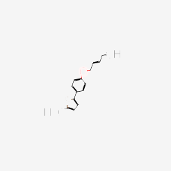 CC/C=C/COc1ccc(-c2ccc(C)s2)cc1